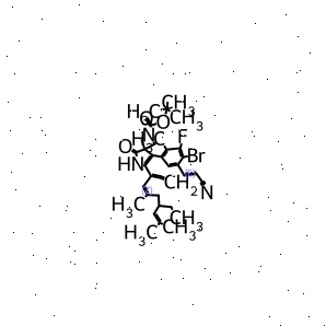 C=C=C(/C=C(/C)CC(C=C(C)C)CC)C1=C(c2cc(/C=C/C#N)c(Br)c(F)c2C)C2(CN(C(=O)OC(C)(C)C)C2)C(=O)N1